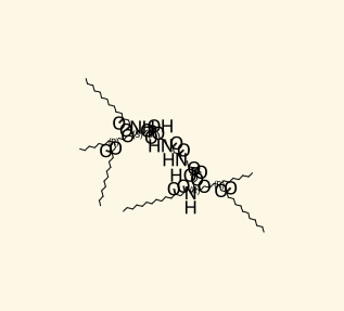 CCCCCCCCCCCC(=O)CC(=O)N[C@H](COCC[C@@H](CCCCCCC)OC(=O)CCCCCCCCCCC)COP(=O)(O)OCCNC(=O)CC(=O)NCCOP(=O)(O)OC[C@H](COCC[C@@H](CCCCCCC)OC(=O)CCCCCCCCCCC)NC(=O)CC(=O)CCCCCCCCCCC